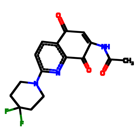 CC(=O)NC1=CC(=O)c2ccc(N3CCC(F)(F)CC3)nc2C1=O